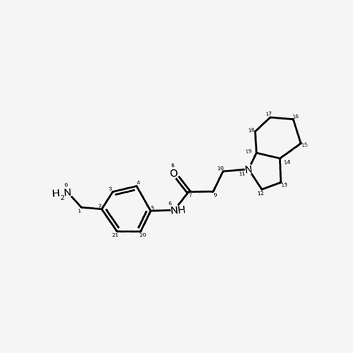 NCc1ccc(NC(=O)CCN2CCC3CCCCC32)cc1